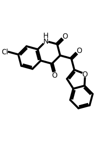 O=C1Nc2cc(Cl)ccc2C(=O)C1C(=O)c1cc2ccccc2o1